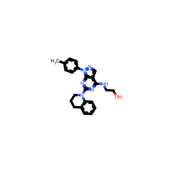 Cc1ccc(-n2ncc3c(NCCO)nc(N4CCCc5ccccc54)nc32)cc1